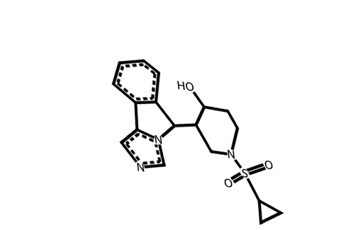 O=S(=O)(C1CC1)N1CCC(O)C(C2c3ccccc3-c3cncn32)C1